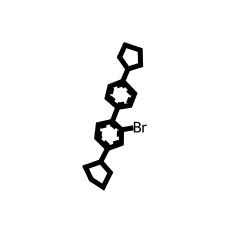 Brc1cc(C2CCCC2)ccc1-c1ccc(C2CCCC2)cc1